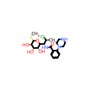 CS[C@H]1OC([C@@H](NC(=O)c2ccccc2N2CCNCC2)[C@H](C)Cl)[C@H](O)[C@H](O)[C@H]1O